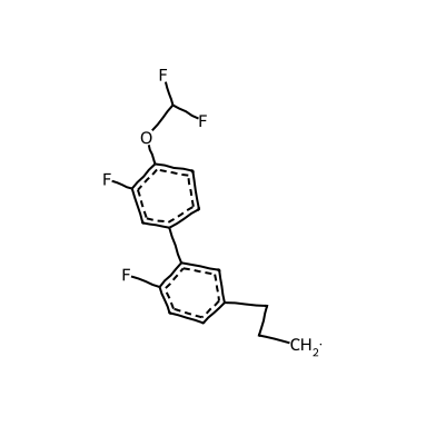 [CH2]CCc1ccc(F)c(-c2ccc(OC(F)F)c(F)c2)c1